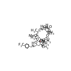 CC[C@H]1OC(=O)C(C)C(=O)[C@H](C)[C@@H](O[C@@H]2OC(CNCc3ccc(C(F)(F)F)cc3)CC(N(C)C)C2O)[C@](C)(OC)C[C@@H](C)CN[C@H](C)[C@H]2NC(=O)O[C@@]21C